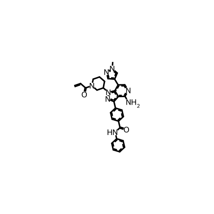 C=CC(=O)N1CCCC(n2nc(-c3ccc(C(=O)Nc4ccccc4)cc3)c3c(N)ncc(-c4cnn(C)c4)c32)C1